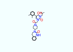 Cc1cccc(C2=CN(CC(=O)N3CCC(N4CCc5ccccc5NC4=O)CC3)C(=O)N(CC(C)C)C2O)c1C